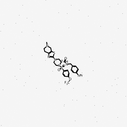 CCCc1ccc(CNC(=O)[C@H]2CN(c3nc4c(s3)CN(C)CC4)CCN2S(=O)(=O)c2ccc(OC(F)(F)F)cc2)cc1